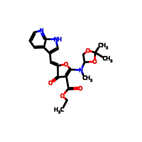 CCOC(=O)C1=C(N(C)C2COC(C)(C)O2)OC(=Cc2c[nH]c3ncccc23)C1=O